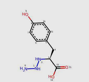 NNN[C@@H](Cc1ccc(O)cc1)C(=O)O